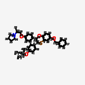 CC(C)[Si](Oc1ccc([C@H]2Sc3cc(OCc4ccccc4)ccc3O[C@H]2c2ccc(OC[C@H](C)N3CCCC3)cc2)cc1)(C(C)C)C(C)C